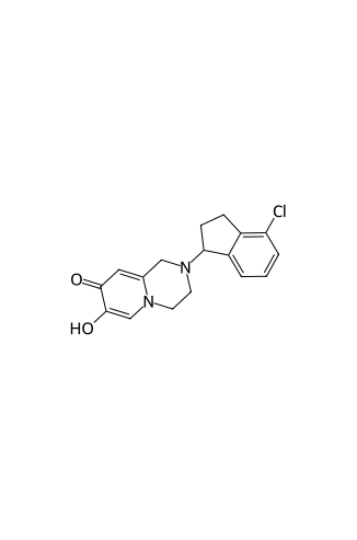 O=c1cc2n(cc1O)CCN(C1CCc3c(Cl)cccc31)C2